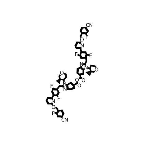 N#Cc1ccc(COc2cccc(-c3cc(F)c(Cc4nc5ccc(C(=O)OC(=O)c6ccc7nc(Cc8cc(F)c(-c9cccc(OCc%10ccc(C#N)cc%10F)n9)cc8F)n(C8CCOCC89CC9)c7c6)cc5n4C4CCOCC45CC5)cc3F)n2)c(F)c1